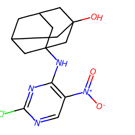 O=[N+]([O-])c1cnc(Cl)nc1NC12CC3CC(CC(O)(C3)C1)C2